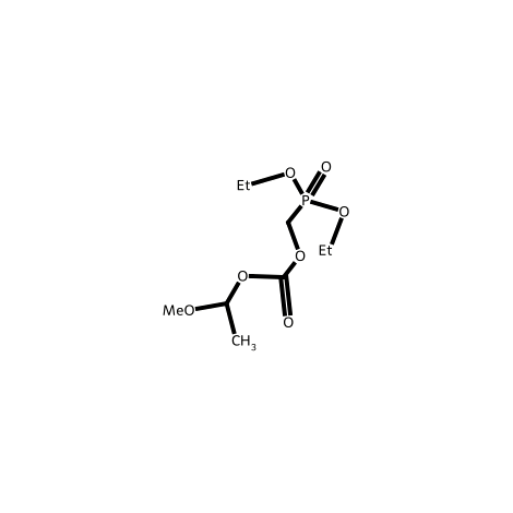 CCOP(=O)(COC(=O)OC(C)OC)OCC